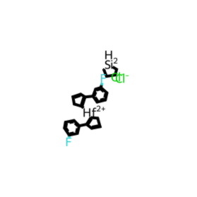 C1CC[SiH2]C1.Fc1cccc(C2=[C]([Hf+2][C]3=C(c4cccc(F)c4)C=CC3)CC=C2)c1.[Cl-].[Cl-]